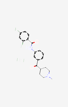 CN1CCC(C(=O)c2cccc(NC(=O)c3ccc(F)cc3F)c2)CC1.Cl